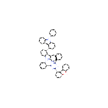 c1ccc(-c2nc(-c3ccccc3-n3c4ccccc4c4c(-c5cccc6c5c5ccccc5n6-c5ccccc5)cccc43)nc(-c3cccc4oc5ccccc5c34)n2)cc1